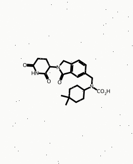 CC1(C)CCC(N(Cc2ccc3c(c2)C(=O)N(C2CCC(=O)NC2=O)C3)C(=O)O)CC1